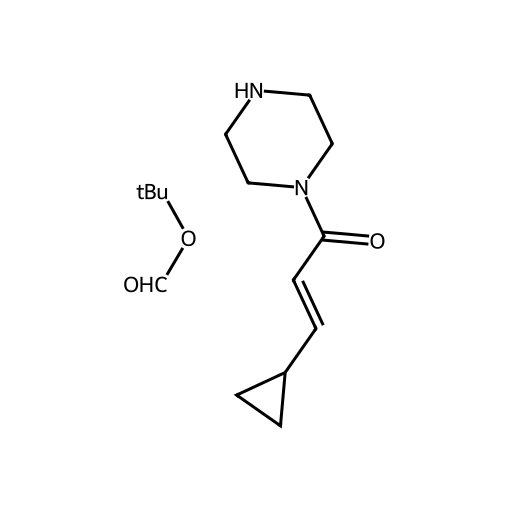 CC(C)(C)OC=O.O=C(/C=C/C1CC1)N1CCNCC1